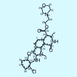 Cc1[nH]c(=O)c2c(ccc3nc(Nc4c(Cl)cccc4Cl)n(C)c32)c1C(=O)OCCN1CCOCC1